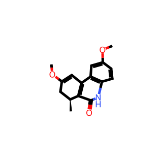 COC1=Cc2c(c(=O)[nH]c3ccc(OC)cc23)[C@@H](C)C1